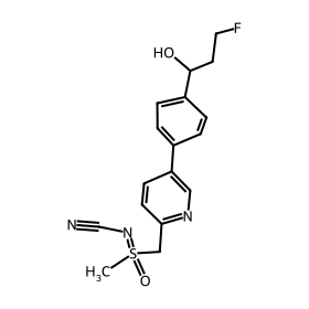 CS(=O)(Cc1ccc(-c2ccc(C(O)CCF)cc2)cn1)=NC#N